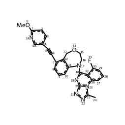 COc1ccc(C#Cc2cccc3c2COCCN3c2nc3nnc(C)n3c3cccc(F)c23)cn1